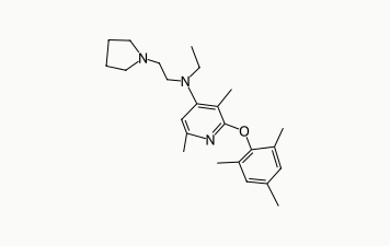 CCN(CCN1CCCC1)c1cc(C)nc(Oc2c(C)cc(C)cc2C)c1C